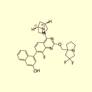 Oc1cc(-c2ccc3c(N4C[C@H]5C[C@@H](C4)N5)nc(OCC45CCCN4CC(F)(F)C5)nc3c2F)c2ccccc2c1